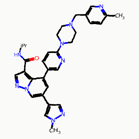 Cc1ccc(CN2CCN(c3ccc(-c4cc(-c5cnn(C)c5)cn5ncc(C(=O)NC(C)C)c45)cn3)CC2)cn1